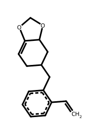 C=Cc1ccccc1CC1CC=C2OCOC2C1